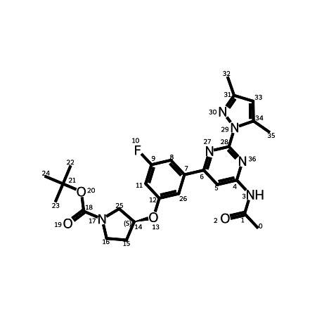 CC(=O)Nc1cc(-c2cc(F)cc(O[C@H]3CCN(C(=O)OC(C)(C)C)C3)c2)nc(-n2nc(C)cc2C)n1